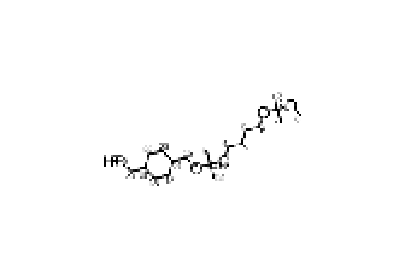 COC(C)(C)OCCCCOC(C)(C)OCC1CCC(CO)CC1